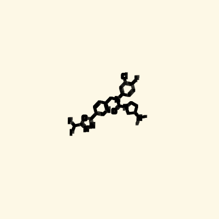 CN(C)C1CCN(C(=O)N(Cc2ccc(-c3nnc(C(F)F)o3)cn2)c2ccc(F)c(Cl)c2)C1